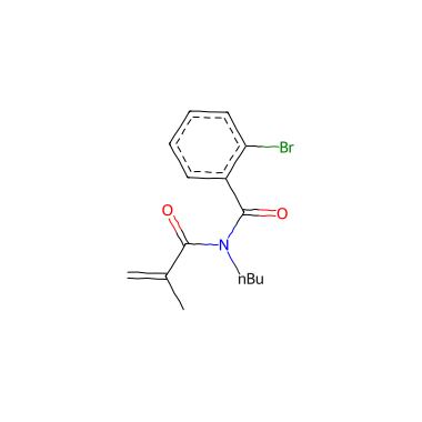 C=C(C)C(=O)N(CCCC)C(=O)c1ccccc1Br